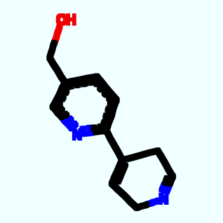 OCc1ccc(C2=CCN=CC2)nc1